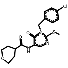 CSc1ncc(NC(=O)C2CCOCC2)c(=O)n1Cc1ccc(Cl)cc1